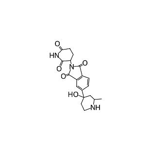 CC1CC(O)(c2ccc3c(c2)C(=O)N(C2CCC(=O)NC2=O)C3=O)CCN1